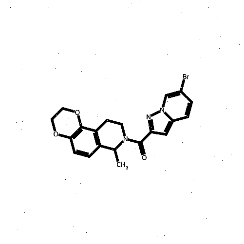 CC1c2ccc3c(c2CCN1C(=O)c1cc2ccc(Br)cn2n1)OCCO3